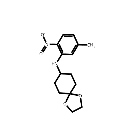 Cc1ccc([N+](=O)[O-])c(NC2CCC3(CC2)OCCO3)c1